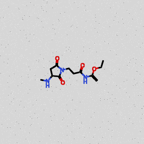 C=C(NC(=O)CCN1C(=O)CC(NC)C1=O)OCC